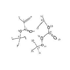 C=C(C)C(=O)OC(C)(C)C.CC(C)OC(=O)OOC(C)(C)C